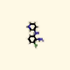 Nc1c(Br)cccc1Nc1cccnc1